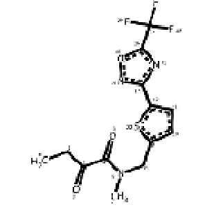 CCC(=O)C(=O)N(C)Cc1ccc(-c2noc(C(F)(F)F)n2)s1